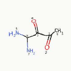 CC(=O)C(=O)C(N)N